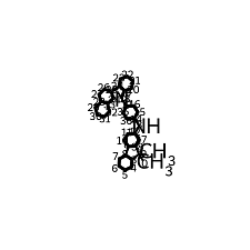 CC1(C)c2ccccc2-c2ccc(Nc3ccc(-n4c5ccccc5c5ccc6ccccc6c54)cc3)cc21